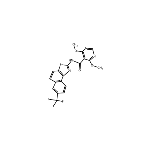 COc1ncnc(OC)c1C(=O)Nc1nc2c(cnc3cc(C(F)(F)F)ccc32)s1